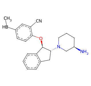 CBc1ccc(O[C@@H]2c3ccccc3C[C@H]2N2CCC[C@@H](N)C2)c(C#N)c1